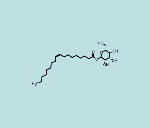 CCCCCCCC/C=C\CCCCCCCC(=O)OC1O[C@H](CO)[C@@H](O)[C@H](O)[C@H]1O